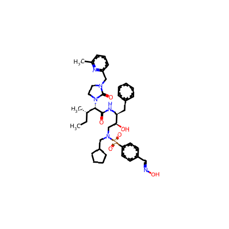 CC[C@H](C)[C@@H](C(=O)N[C@@H](Cc1ccccc1)[C@@H](O)CN(CC1CCCC1)S(=O)(=O)c1ccc(C=NO)cc1)N1CCN(Cc2cccc(C)n2)C1=O